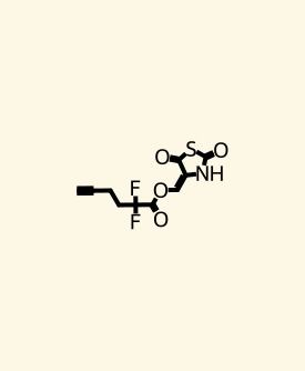 C#CCCC(F)(F)C(=O)OC=C1NC(=O)SC1=O